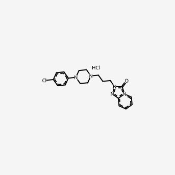 Cl.O=c1n(CCCN2CCN(c3ccc(Cl)cc3)CC2)nc2ccccn12